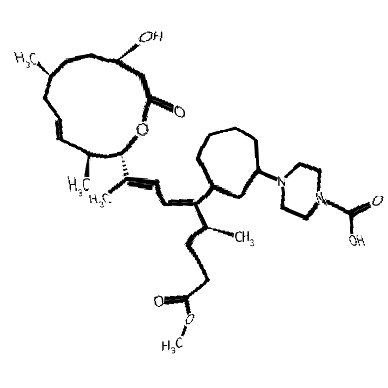 COC(=O)CC[C@H](C)/C(=C/C=C(\C)[C@H]1OC(=O)C[C@H](O)CC[C@H](C)C/C=C/[C@@H]1C)C1CCCCC(N2CCN(C(=O)O)CC2)C1